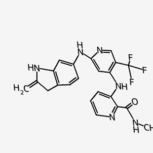 C=C1Cc2ccc(Nc3cc(Nc4cccnc4C(=O)NC)c(C(F)(F)F)cn3)cc2N1